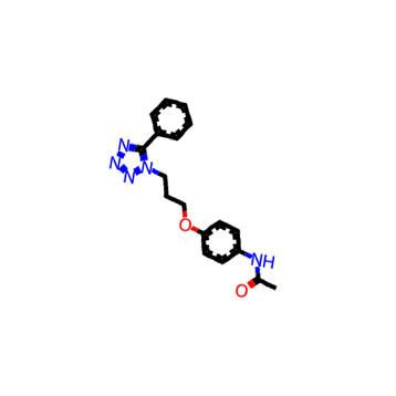 CC(=O)Nc1ccc(OCCCn2nnnc2-c2ccccc2)cc1